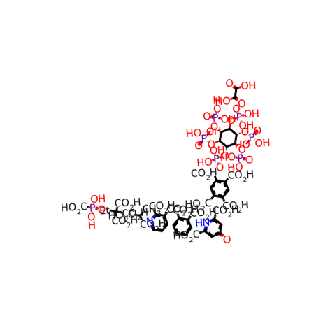 CC(C(=O)O)C(=O)O.CCC(C(=O)O)(C(=O)O)C(=O)O.O=C(O)C(=O)O.O=C(O)P(=O)(O)O.O=C(O)c1cc(=O)cc(C(=O)O)[nH]1.O=C(O)c1cc(C(=O)O)c(C(=O)O)cc1C(=O)O.O=C(O)c1ccccc1C(=O)O.O=C(O)c1cccnc1C(=O)O.O=P(O)(O)O[C@H]1[C@H](OP(=O)(O)O)[C@@H](OP(=O)(O)O)[C@H](OP(=O)(O)O)[C@@H](OP(=O)(O)O)[C@H]1OP(=O)(O)O